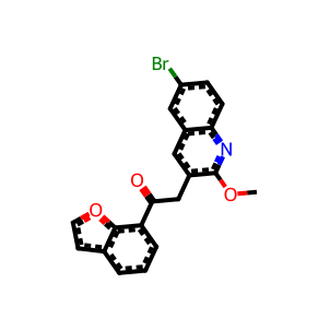 COc1nc2ccc(Br)cc2cc1CC(=O)c1cccc2ccoc12